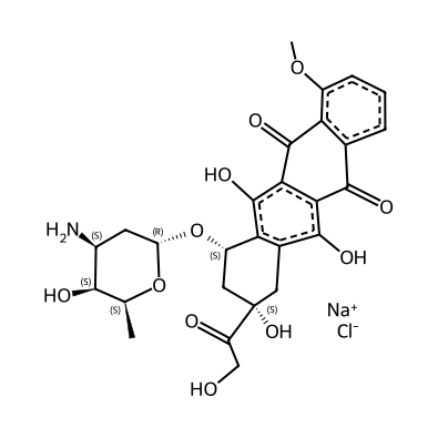 COc1cccc2c1C(=O)c1c(O)c3c(c(O)c1C2=O)C[C@@](O)(C(=O)CO)C[C@@H]3O[C@H]1C[C@H](N)[C@H](O)[C@H](C)O1.[Cl-].[Na+]